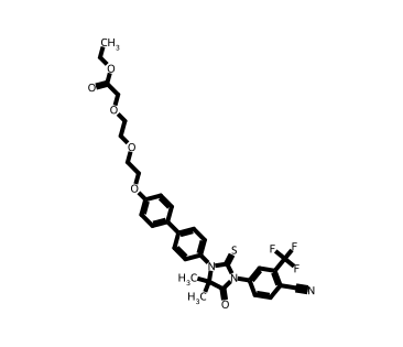 CCOC(=O)COCCOCCOc1ccc(-c2ccc(N3C(=S)N(c4ccc(C#N)c(C(F)(F)F)c4)C(=O)C3(C)C)cc2)cc1